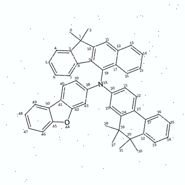 CC1(C)c2ccccc2-c2c1cc1ccccc1c2N(c1ccc2c(c1)C(C)(C)C(C)(C)c1ccccc1-2)c1ccc2c(c1)oc1ccccc12